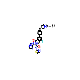 O=C(Nc1nccs1)C(c1ncn2c1CCC2)N1Cc2c(F)cc(-c3ccc(CC4CCN(C(=O)O)CC4)cc3)cc2C1=O